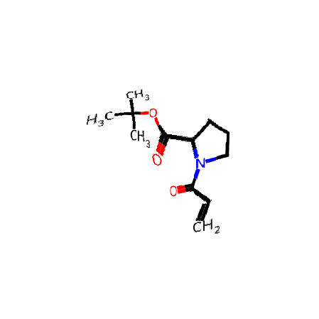 C=CC(=O)N1CCCC1C(=O)OC(C)(C)C